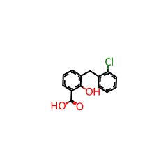 O=C(O)c1cccc(Cc2ccccc2Cl)c1O